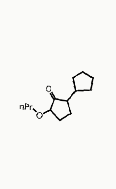 CCCOC1CCC(C2CCCC2)C1=O